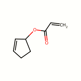 C=CC(=O)OC1C=CCC1